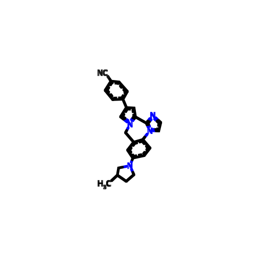 CC1CCN(c2ccc3c(c2)Cn2cc(-c4ccc(C#N)cc4)cc2-c2nccn2-3)C1